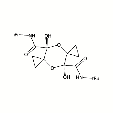 CC(C)NC(=O)[C@]1(O)OC2(CC2)[C@@](O)(C(=O)NC(C)(C)C)OC12CC2